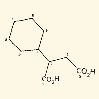 O=C(O)CC(C(=O)O)C1CCCCC1